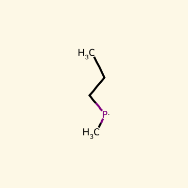 CCC[P]C